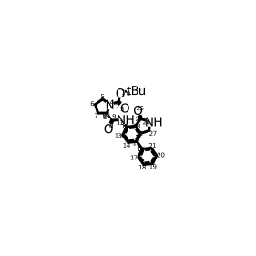 CC(C)(C)OC(=O)N1CCC[C@@H]1C(=O)Nc1ccc(-c2ccccc2)c2c1C(=O)NC2